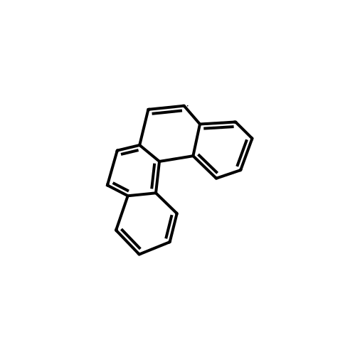 [c]1cc2ccc3ccccc3c2c2ccccc12